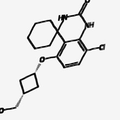 O=C1Nc2c(Cl)ccc(O[C@H]3C[C@@H](CO)C3)c2C2(CCCCC2)N1